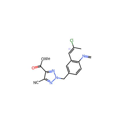 C=Nc1ccc(Cn2nc(C#N)c(C(=O)OC)n2)cc1/C=C(\C)Cl